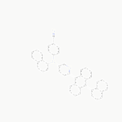 N#Cc1ccc(N(c2ccc(-c3c4ccccc4c(-c4cccc5ccccc45)c4ccccc34)nc2)c2cccc3ccccc23)cc1